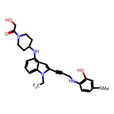 CSc1ccc(NCC#Cc2cc3c(NC4CCN(C(=O)CO)CC4)cccc3n2CC(F)(F)F)c(O)c1